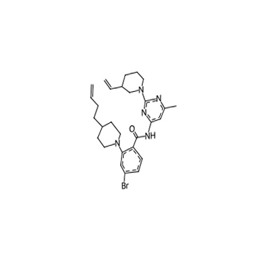 C=CCCC1CCN(c2cc(Br)ccc2C(=O)Nc2cc(C)nc(N3CCCC(C=C)C3)n2)CC1